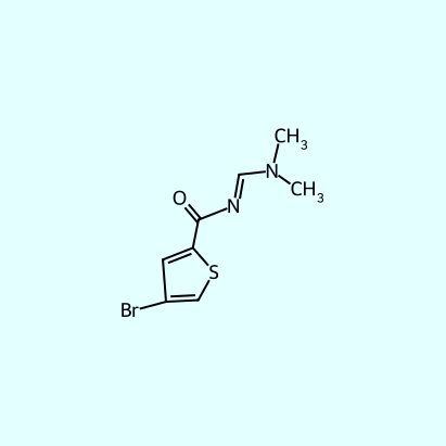 CN(C)C=NC(=O)c1cc(Br)cs1